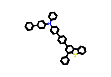 C1=CCCC(C2C=CC(N(c3ccccc3)c3ccc(-c4ccc(C5=CC(c6ccccc6)=C6Sc7ccccc7C6C5)cc4)cc3)=CC2)=C1